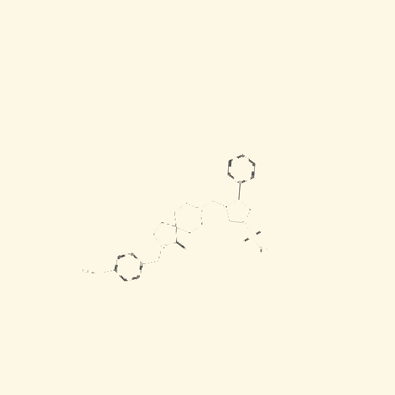 COc1ccc(CN2CCC3(CCN(CC4CN(S(=O)(=O)C(C)C)CC4c4ccccc4)CC3)C2=O)cc1